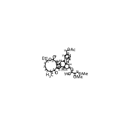 CC[C@H]1CCCC[C@@H](C)C(=O)C2=CC3[C@@H](C[C@@H](n4cc(COC(C)=O)nn4)[C@@H]4C[C@@H](OC(O)[C@H](COC)OC)C[C@@H]34)[C@@H]2CC(=O)O1